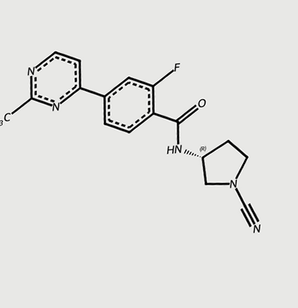 Cc1nccc(-c2ccc(C(=O)N[C@@H]3CCN(C#N)C3)c(F)c2)n1